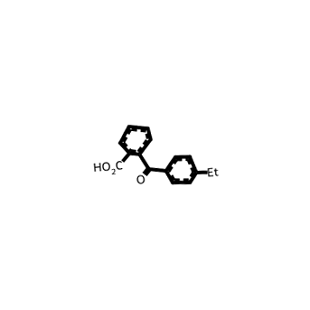 CCc1ccc(C(=O)c2ccccc2C(=O)O)cc1